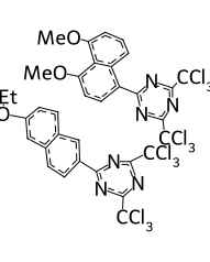 CCOc1ccc2cc(-c3nc(C(Cl)(Cl)Cl)nc(C(Cl)(Cl)Cl)n3)ccc2c1.COc1cccc2c(-c3nc(C(Cl)(Cl)Cl)nc(C(Cl)(Cl)Cl)n3)ccc(OC)c12